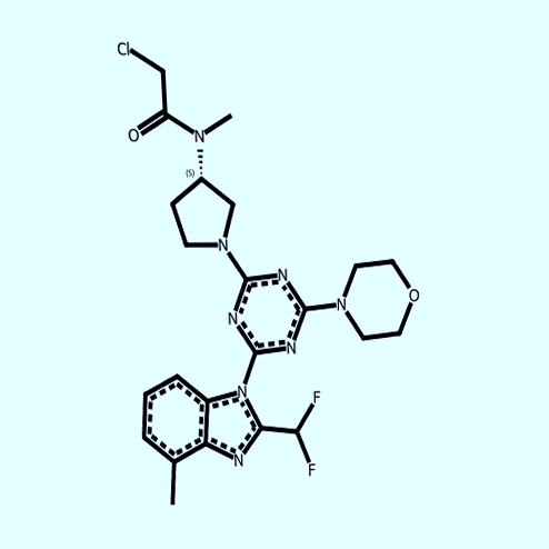 Cc1cccc2c1nc(C(F)F)n2-c1nc(N2CCOCC2)nc(N2CC[C@H](N(C)C(=O)CCl)C2)n1